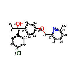 CCC(O)(c1ccc(Cl)cc1)c1ccc(OCc2cccc(C)n2)cc1